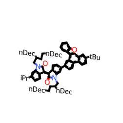 CCCCCCCCCCCCC(CCCCCCCCCC)CN1C(=O)/C(=C2/C(=O)N(CC(CCCCCCCCCC)CCCCCCCCCCCC)c3cc(C(C)C)ccc32)c2ccc(-c3ccc4c5ccc(C(C)(C)C)cc5c5oc6ccccc6c5c4c3)cc21